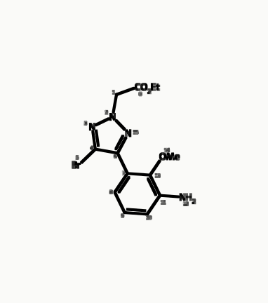 CCOC(=O)Cn1nc(Br)c(-c2cccc(N)c2OC)n1